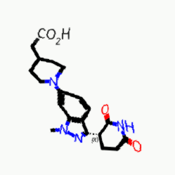 Cn1nc([C@H]2CCC(=O)NC2=O)c2ccc(N3CCC(CC(=O)O)CC3)cc21